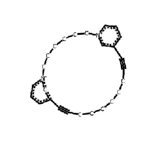 C1#Cc2ccc[n+](c2)CCCCCC[n+]2cccc(c2)C#CCCCCCC1